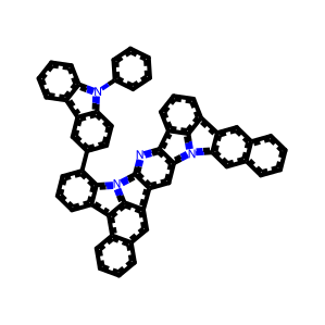 c1ccc(-n2c3ccccc3c3cc(-c4cccc5c6c7ccccc7cc7c8cc9c(nc8n(c45)c76)c4cccc5c6cc7ccccc7cc6n9c54)ccc32)cc1